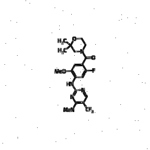 CNc1nc(Nc2cc(F)c(C(=O)N3CCOC(C)(C)C3)cc2OC)ncc1C(F)(F)F